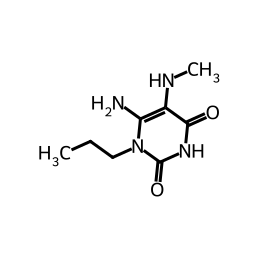 CCCn1c(N)c(NC)c(=O)[nH]c1=O